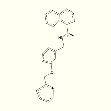 C[C@@H](NCc1cccc(OCc2ccccn2)c1)c1cccc2ccccc12